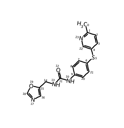 Cc1ccc(Sc2ccc(NC(=O)NCc3cnco3)cc2)cn1